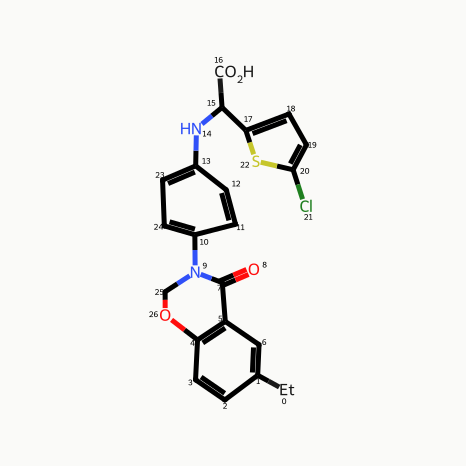 CCc1ccc2c(c1)C(=O)N(c1ccc(NC(C(=O)O)c3ccc(Cl)s3)cc1)CO2